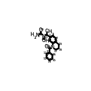 CC(c1ccc2c(c1)N(C(=O)c1ccccc1)CCC2)N(O)C(N)=O